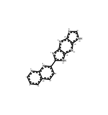 c1cnc2nc(-c3nc4nc5nc[nH]c5nc4[nH]3)ccc2c1